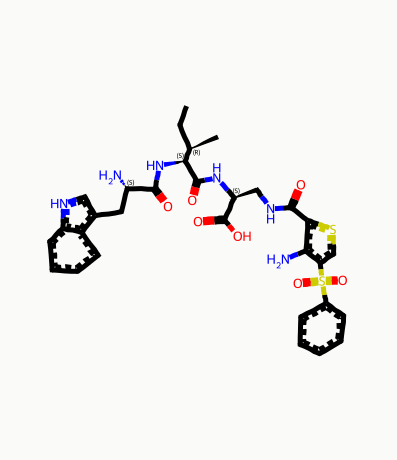 CC[C@@H](C)[C@H](NC(=O)[C@@H](N)Cc1c[nH]c2ccccc12)C(=O)N[C@@H](CNC(=O)c1scc(S(=O)(=O)c2ccccc2)c1N)C(=O)O